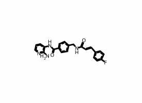 Nc1ncccc1NC(=O)c1ccc(CNC(=O)C=Cc2ccc(F)cc2)cc1